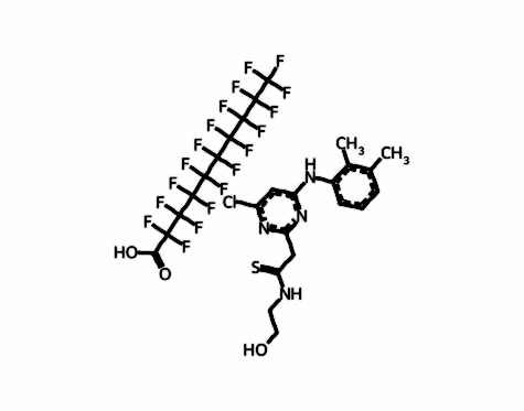 Cc1cccc(Nc2cc(Cl)nc(CC(=S)NCCO)n2)c1C.O=C(O)C(F)(F)C(F)(F)C(F)(F)C(F)(F)C(F)(F)C(F)(F)C(F)(F)C(F)(F)C(F)(F)F